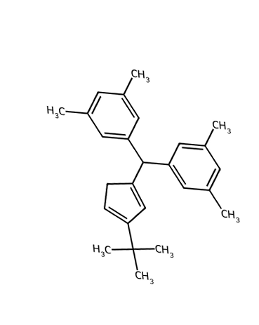 Cc1cc(C)cc(C(C2=CC(C(C)(C)C)=CC2)c2cc(C)cc(C)c2)c1